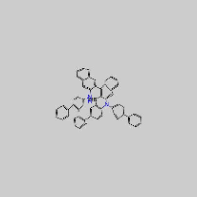 B1c2cc(-c3ccccc3)ccc2N(c2ccc(-c3ccccc3)cc2)c2cc3ccccc3c(-c3cc4ccccc4cc3Nc3ccc(-c4ccccc4)cc3)c21